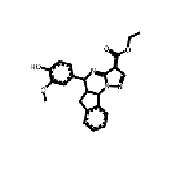 CCOC(=O)C1C=NN2C1=NC(c1ccc(O)c(OC)c1)C1Cc3ccccc3C12